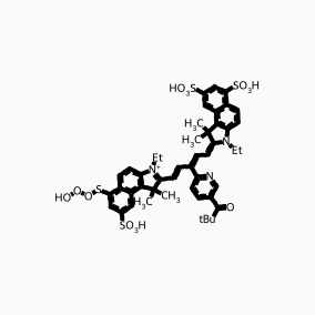 CCN1/C(=C/C=C(/C=C/C2=[N+](CC)c3ccc4c(SOOO)cc(S(=O)(=O)O)cc4c3C2(C)C)c2ccc(C(=O)C(C)(C)C)cn2)C(C)(C)c2c1ccc1c(S(=O)(=O)O)cc(S(=O)(=O)O)cc21